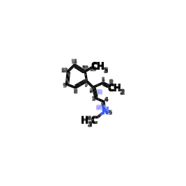 C=C/C(=C\C=N/C)c1ccccc1C